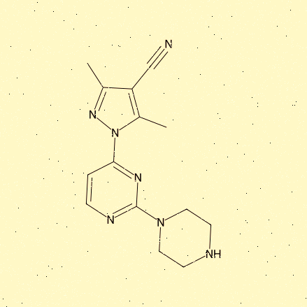 Cc1nn(-c2ccnc(N3CCNCC3)n2)c(C)c1C#N